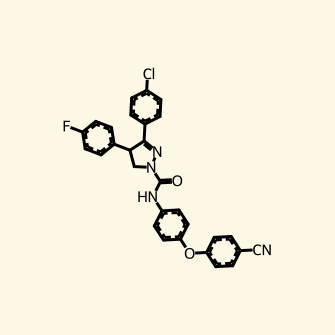 N#Cc1ccc(Oc2ccc(NC(=O)N3CC(c4ccc(F)cc4)C(c4ccc(Cl)cc4)=N3)cc2)cc1